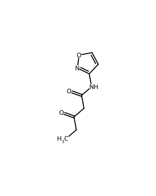 CCC(=O)CC(=O)Nc1ccon1